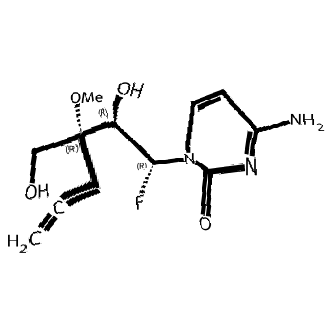 C=C=C[C@](CO)(OC)[C@@H](O)[C@@H](F)n1ccc(N)nc1=O